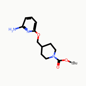 CC(C)(C)OC(=O)N1CCC(COc2cccc(N)n2)CC1